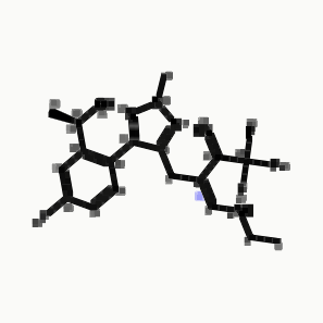 CCN/C=C(/Cc1nn(C)nc1-c1ccc(F)cc1[C@@H](C)O)C(=N)C(F)(F)F